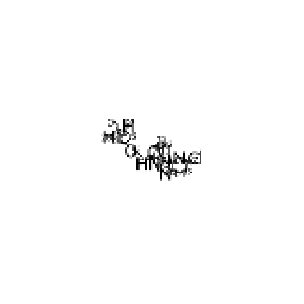 C[C@H]1[C@H]2C[C@H](OCCC(=O)Nc3nc4ccc(Cl)nc4n3C3CCC3)C[C@@H]12